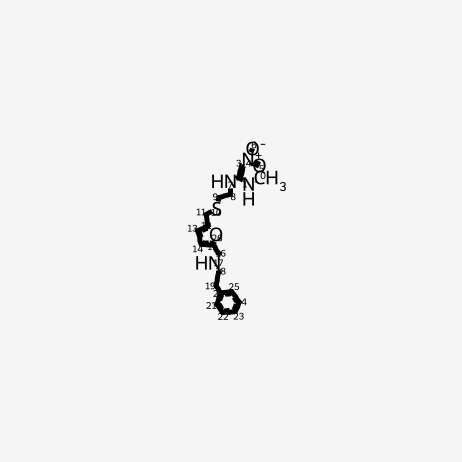 CNC(=C[N+](=O)[O-])NCCSCc1ccc(CNCCc2ccccc2)o1